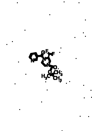 CC(C)(C)OC(=O)N1CCN(C(=O)c2cccnc2)[C@@H](C(F)F)C1